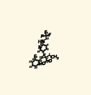 CCC1(C(=O)O)C(c2ccc(NCC(F)(F)F)nc2)C1c1ccccc1F